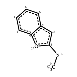 FC(F)(F)Sc1cc2ccccc2o1